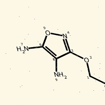 CCOc1noc(N)c1N